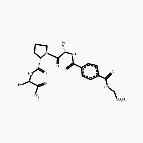 CC(C)C(NC(=O)[C@@H]1CCCN1C(=O)[C@@H](NC(=O)c1ccc(C(=O)NCC(=O)O)cc1)C(C)C)C(=O)C(F)(F)F